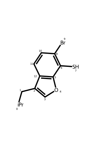 CC(C)Cc1coc2c(S)c(Br)ccc12